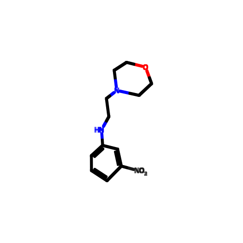 O=[N+]([O-])c1cccc(NCCN2CCOCC2)c1